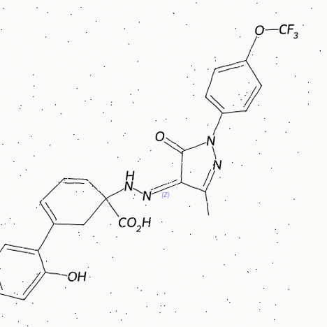 CC1=NN(c2ccc(OC(F)(F)F)cc2)C(=O)/C1=N\NC1(C(=O)O)C=CC=C(c2ccccc2O)C1